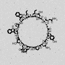 CCCC[C@H]1C(=O)N(C)[C@@H](CCCC)C(=O)N[C@@H](CC(=O)O)C(=O)N[C@H](C(=O)NCC(N)=O)CSCC(=O)N[C@@H](Cc2ccc(O)cc2)C(=O)N(C)[C@@H](C)C(=O)N[C@@H](CC(N)=O)C(=O)N2CCC[C@H]2C(=O)N[C@@H](Cc2c[nH]cn2)C(=O)N[C@@H](CCC(N)=O)C(=O)N2C[C@H](O)C[C@H]2C(=O)N[C@@H](Cc2c[nH]c3ccccc23)C(=O)N[C@@H](CO)C(=O)N[C@@H](Cc2c[nH]c3ccccc23)C(=O)N1C